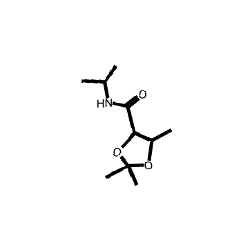 CC(C)NC(=O)C1OC(C)(C)OC1C